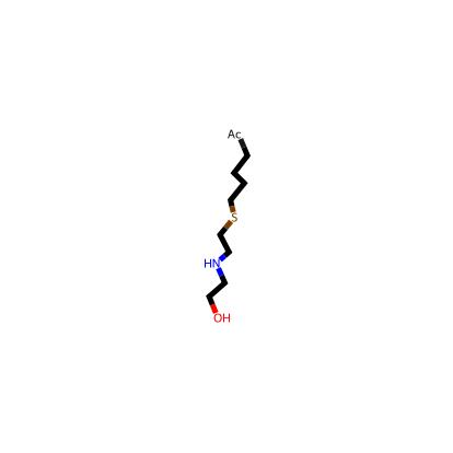 CC(=O)CCCCSCCNCCO